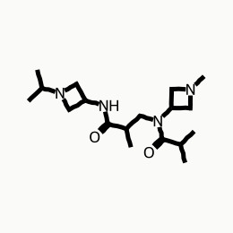 CC(C)C(=O)N(CC(C)C(=O)NC1CN(C(C)C)C1)C1CN(C)C1